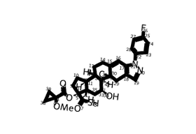 COC1(C(=O)O[C@]2(C(=O)S)CC[C@H]3[C@@H]4CCC5=Cc6c(cnn6-c6ccc(F)cc6)C[C@]5(C)[C@H]4[C@@H](O)C[C@@]32C)CC1